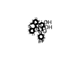 O=C1C2=C(O)C(O)C=CN2N(C2c3ccccc3CSc3ccccc32)CN1C1CCC(F)(F)CC1